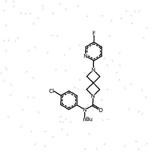 CCCCN(C(=O)N1CC2(C1)CN(c1ccc(F)cn1)C2)c1ccc(Cl)cc1